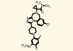 COc1cc(N2CCC(c3nnc4n3-c3ccc(Cl)cc3CN(C3(C(=O)N(C)C)CC3)C4)CC2)c(F)cc1F